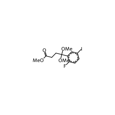 COC(=O)CCC(OC)(OC)c1cc(I)ccc1F